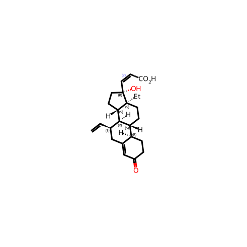 C=C[C@@H]1CC2=CC(=O)CC[C@@H]2[C@H]2CC[C@@]3(CC)[C@@H](CC[C@@]3(O)/C=C\C(=O)O)[C@@H]21